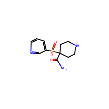 NC(=O)C1(S(=O)(=O)c2cccnc2)CCNCC1